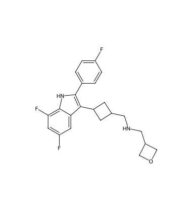 Fc1ccc(-c2[nH]c3c(F)cc(F)cc3c2C2CC(CNCC3COC3)C2)cc1